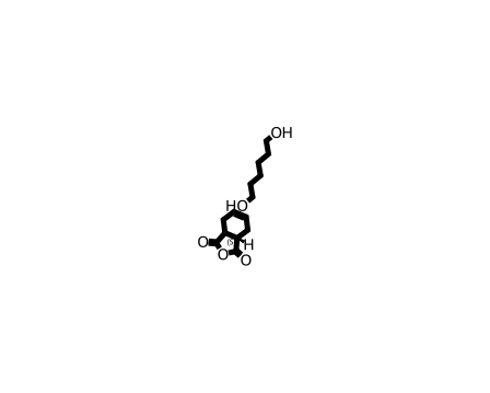 O=C1OC(=O)[C@H]2CC=CCC12.OCCCCCCO